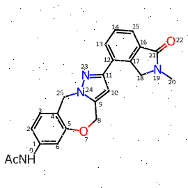 CC(=O)Nc1ccc2c(c1)OCc1cc(-c3cccc4c3CN(C)C4=O)nn1C2